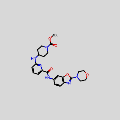 CC(C)(C)OC(=O)N1CCC(Nc2cccc(C(=O)Nc3ccc4nc(N5CCOCC5)oc4c3)n2)CC1